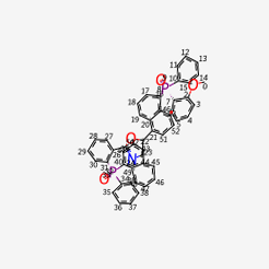 COc1ccccc1[P@](=O)(c1ccccc1)c1cccc2c(C3CN=C(c4ccccc4[P@@](=O)(c4ccccc4)c4cccc5ccccc45)O3)cccc12